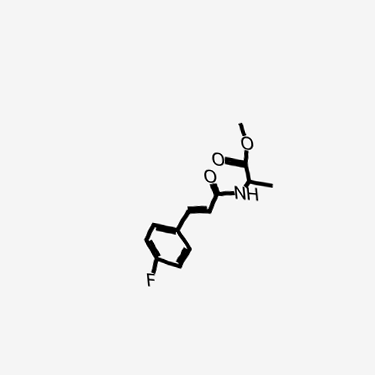 COC(=O)C(C)NC(=O)/C=C/c1ccc(F)cc1